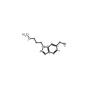 COCCCn1ncc2ccc(CBr)cc21